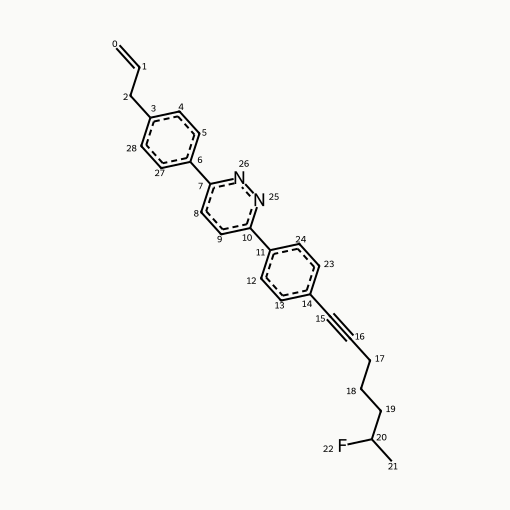 C=CCc1ccc(-c2ccc(-c3ccc(C#CCCCC(C)F)cc3)nn2)cc1